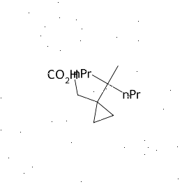 CCCC(C)(CCC)C1(CC(=O)O)CC1